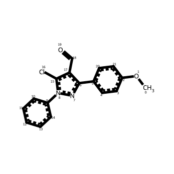 COc1ccc(-c2nn(-c3ccccc3)c(Cl)c2C=O)cc1